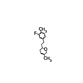 CC1=CCC(CCc2ccc(C)c(F)c2)OC1